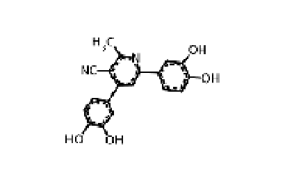 Cc1nc(-c2ccc(O)c(O)c2)cc(-c2ccc(O)c(O)c2)c1C#N